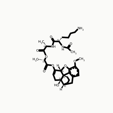 COc1ccc2c3c1O[C@H]1C(OC(=O)[C@H](C)OC(=O)[C@H](C)NC(=O)[C@H](CCCCN)NC(C)=O)=CC[C@@]4(O)[C@H](CCC[C@]314)C2